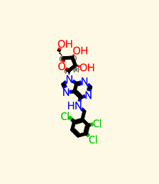 OC[C@H]1O[C@@H](n2cnc3c(NCc4c(Cl)ccc(Cl)c4Cl)ncnc32)[C@H](O)[C@@H]1O